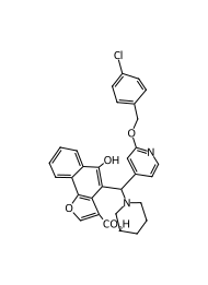 O=C(O)c1coc2c1c(C(c1ccnc(OCc3ccc(Cl)cc3)c1)N1CCCCC1)c(O)c1ccccc12